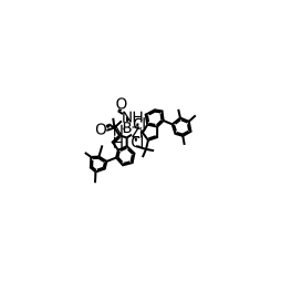 Cc1cc(C)c(C)c(-c2cccc3c2C=C(C(C)(C)C)[CH]3[Zr]([Cl])([Cl])([B](NC=O)NC=O)[CH]2C(C(C)(C)C)=Cc3c(-c4cc(C)cc(C)c4C)cccc32)c1